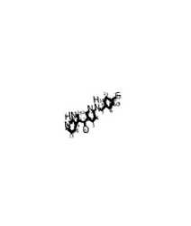 O=C(c1ccc(NCc2ccc(F)cc2)nc1)c1c[nH]c2ncccc12